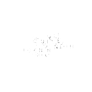 NC(=O)C(CC=CO)N(CCN(CCN(CC(=O)O)C(CC=CO)C(N)=O)CC(=O)O)CC(=O)O